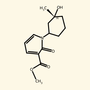 COC(=O)c1cccn(C2CCC[C@@](C)(O)C2)c1=O